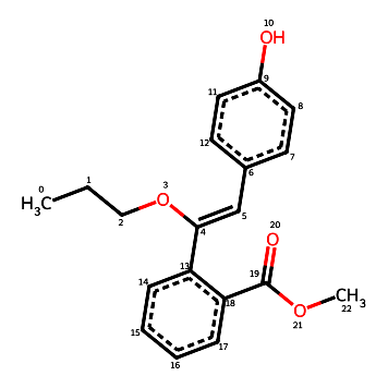 CCCOC(=Cc1ccc(O)cc1)c1ccccc1C(=O)OC